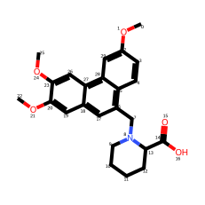 COc1ccc2c(CN3CCCCC3C(=O)O)cc3cc(OC)c(OC)cc3c2c1